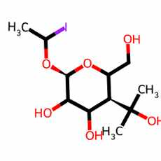 CC(I)O[C@H]1OC(CO)[C@@H](C(C)(C)O)C(O)C1O